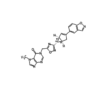 Cn1cnc2ncn(Cc3nc([C@@H]4[C@H]5C=C(c6ccc7oncc7c6)C[C@H]54)no3)c(=O)c21